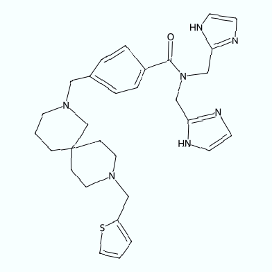 O=C(c1ccc(CN2CCCC3(CCN(Cc4cccs4)CC3)C2)cc1)N(Cc1ncc[nH]1)Cc1ncc[nH]1